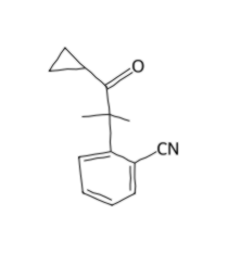 CC(C)(C(=O)C1CC1)c1ccccc1C#N